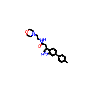 Cc1ccc(-c2ccc3c(CC(=O)NCCN4CCOCC4)c[nH]c3c2)cc1